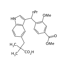 CCCC(c1ccc(C(=O)OC)cc1OC)c1c[nH]c2ccc(CC(C)(C)C(=O)O)cc12